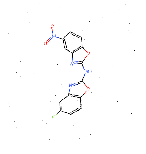 O=[N+]([O-])c1ccc2oc(Nc3nc4cc(F)ccc4o3)nc2c1